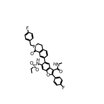 CCS(=O)(=O)Nc1cc2oc(-c3ccc(F)cc3)c(C(=O)NC)c2cc1-c1ccc2c(c1)C(=O)N(Cc1ccc(F)cc1)CC2